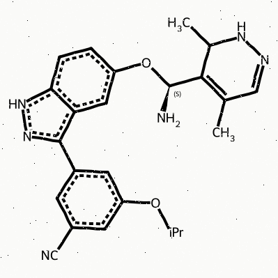 CC1=C([C@@H](N)Oc2ccc3[nH]nc(-c4cc(C#N)cc(OC(C)C)c4)c3c2)C(C)NN=C1